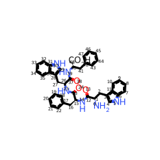 N[C@@H](Cc1c[nH]c2ccccc12)C(=O)N[C@@H](Cc1ccccc1)C(=O)N[C@@H](Cc1c[nH]c2ccccc12)C(=O)N[C@@H](Cc1ccccc1)C(=O)O